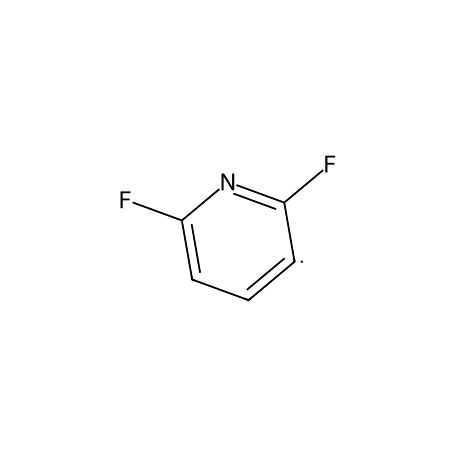 Fc1[c]ccc(F)n1